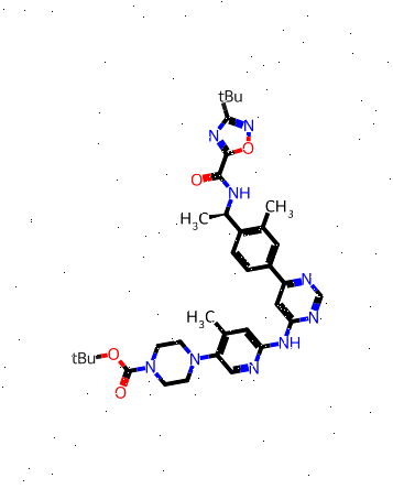 Cc1cc(-c2cc(Nc3cc(C)c(N4CCN(C(=O)OC(C)(C)C)CC4)cn3)ncn2)ccc1[C@@H](C)NC(=O)c1nc(C(C)(C)C)no1